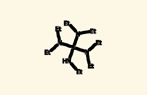 CCN[Si](N(CC)CC)(N(CC)CC)N(CC)CC